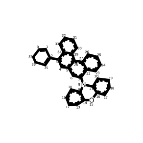 C1=CC(c2cc3cc(N4c5ccccc5Oc5ccccc54)c4ccccc4c3c3ccccc23)=CCC1